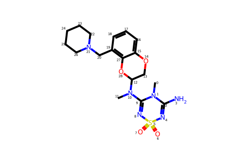 CN1C(N)=NS(=O)(=O)N=C1N(C)C1COc2cccc(CN3CCCCC3)c2O1